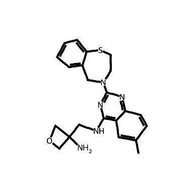 Cc1ccc2nc(N3CCSc4ccccc4C3)nc(NCC3(N)COC3)c2c1